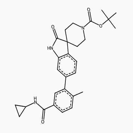 Cc1ccc(C(=O)NC2CC2)cc1-c1ccc2c(c1)NC(=O)C21CCN(C(=O)OC(C)(C)C)CC1